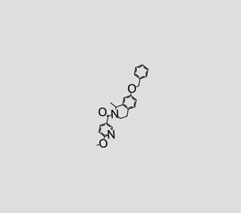 COc1ccc(C(=O)N2CCc3ccc(OCc4ccccc4)cc3C2C)cn1